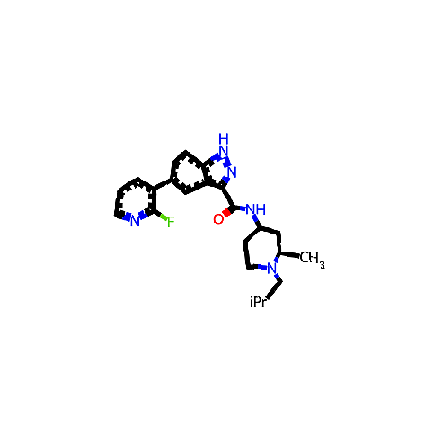 CC(C)CN1CCC(NC(=O)c2n[nH]c3ccc(-c4cccnc4F)cc23)CC1C